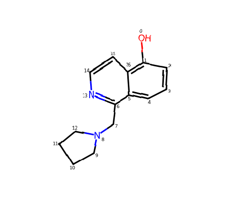 Oc1cccc2c(CN3CCCC3)nccc12